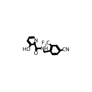 N#Cc1ccc(CNC(=O)c2ncccc2O)c(C(F)(F)F)c1